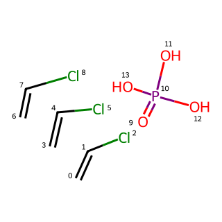 C=CCl.C=CCl.C=CCl.O=P(O)(O)O